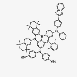 Cc1cccc(C)c1N1c2cc(N(c3ccccc3)c3ccc(-c4cc5ccccc5s4)cc3)ccc2B2c3cc4c(cc3N(c3ccc5c(c3)C(C)(C)CCC5(C)C)c3cc(N(c5ccc(C(C)(C)C)cc5)c5ccc(C(C)(C)C)cc5)cc1c32)C(C)(C)CCC4(C)C